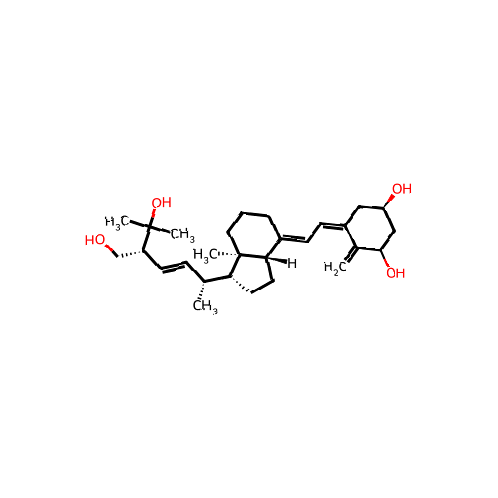 C=C1/C(=C\C=C2/CCC[C@]3(C)[C@@H]([C@H](C)/C=C/[C@H](CO)C(C)(C)O)CC[C@@H]23)C[C@@H](O)CC1O